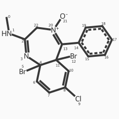 CNC1=NC2(Br)C=CC(Cl)=CC2(Br)C(c2ccccc2)=[N+]([O-])C1